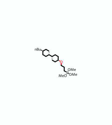 CCCC[C@H]1CC[C@H]([C@H]2CC[C@H](OCCC[Si](OC)(OC)OC)CC2)CC1